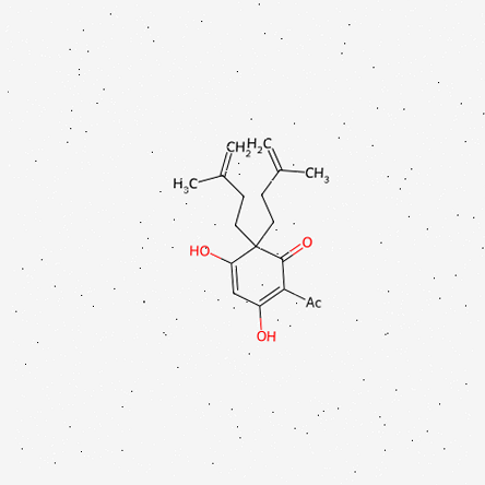 C=C(C)CCC1(CCC(=C)C)C(=O)C(C(C)=O)=C(O)C=C1O